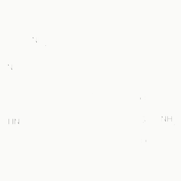 Nc1cc2c(-c3ccc(S(N)(=O)=O)cc3)c[nH]c2cn1